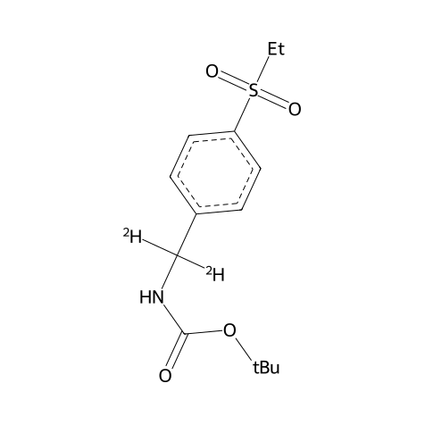 [2H]C([2H])(NC(=O)OC(C)(C)C)c1ccc(S(=O)(=O)CC)cc1